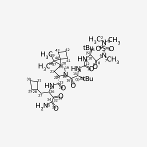 CN(C)S(=O)(=O)N(C)C(=O)[C@@H](NC(=O)N[C@H](C(=O)N1C[C@]2(C[C@H]1C(=O)NC(CC1CCC1)C(=O)C(N)=O)C(C)(C)C21CCC1)C(C)(C)C)C(C)(C)C